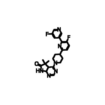 CC1(C)C(=O)NC2N=CN=C(N3CCC(c4ccc(F)c(-c5cncc(F)c5)n4)CC3)C21